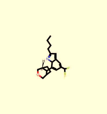 CCCCC1=NC2C(=C1)C=C(C(F)F)C=C2C1C2CC[C@H]1COC2